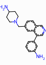 Nc1cccc(-c2cncc3ccc(CN4CCC(N)CC4)cc23)c1